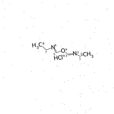 CCN=COC=NCC.Cl